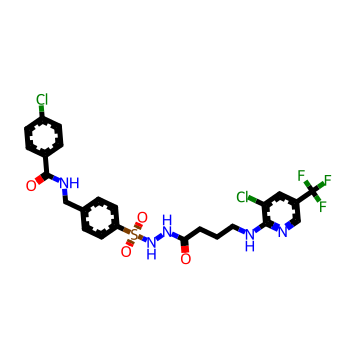 O=C(CCCNc1ncc(C(F)(F)F)cc1Cl)NNS(=O)(=O)c1ccc(CNC(=O)c2ccc(Cl)cc2)cc1